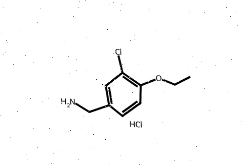 CCOc1ccc(CN)cc1Cl.Cl